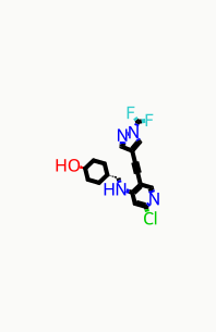 O[C@H]1CC[C@H](CNc2cc(Cl)ncc2C#Cc2cnn(C(F)F)c2)CC1